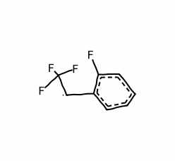 Fc1ccccc1[CH]C(F)(F)F